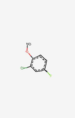 O=NOc1ccc(F)cc1Cl